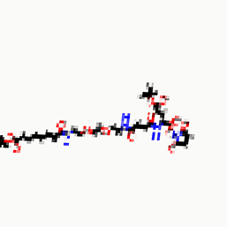 CC(C)(C)OC(=O)CCCCCCC(=O)NCCOCCOCCNC(=O)CCC(=O)N[C@@H](CCC(=O)OC(C)(C)C)C(=O)ON1C(=O)CCC1=O